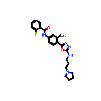 O=C(Nc1ccc(-c2nnc(NCCCN3CCCC3)o2)c(C(F)(F)F)c1)c1ccccc1F